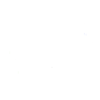 O=[N+]([O-])c1ccc(-c2ccc(C(F)(F)F)cc2C(F)(F)F)cc1